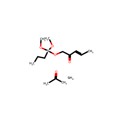 CC(C)=O.CC=CC(=O)CO[Si](CCC)(OC)OC.[SiH4]